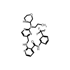 CCCN(c1nccc(CNc2ncccc2C(=O)Nc2cccc(C(F)(F)F)c2)n1)C1COCCN1